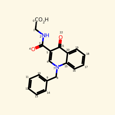 O=C(O)CNC(=O)c1cn(Cc2ccccc2)c2ccccc2c1=O